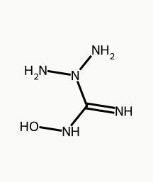 N=C(NO)N(N)N